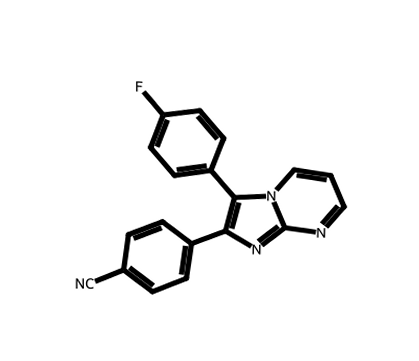 N#Cc1ccc(-c2nc3ncccn3c2-c2ccc(F)cc2)cc1